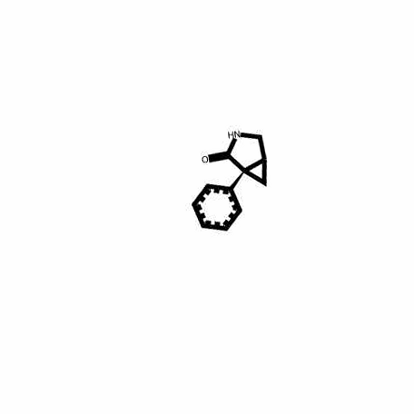 O=C1NCC2C[C@]12c1ccccc1